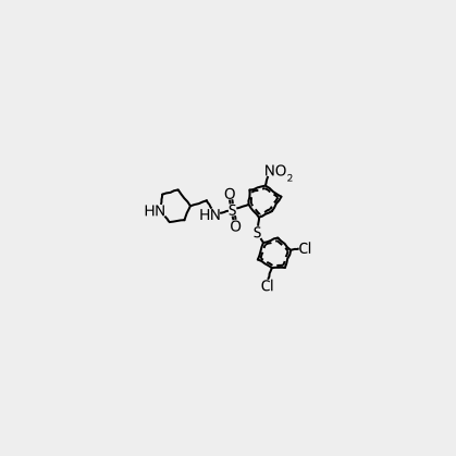 O=[N+]([O-])c1ccc(Sc2cc(Cl)cc(Cl)c2)c(S(=O)(=O)NCC2CCNCC2)c1